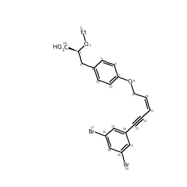 CCO[C@@H](Cc1ccc(OC/C=C\C#Cc2cc(Br)cc(Br)c2)cc1)C(=O)O